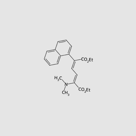 CCOC(=O)C(=CC=C(C(=O)OCC)N(C)C)c1cccc2ccccc12